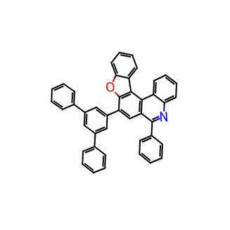 c1ccc(-c2cc(-c3ccccc3)cc(-c3cc4c(-c5ccccc5)nc5ccccc5c4c4c3oc3ccccc34)c2)cc1